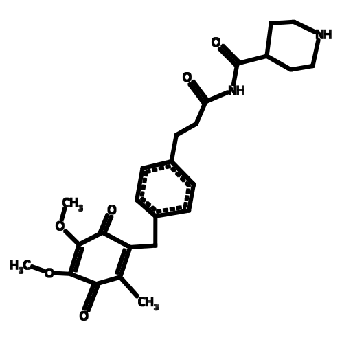 COC1=C(OC)C(=O)C(Cc2ccc(CCC(=O)NC(=O)C3CCNCC3)cc2)=C(C)C1=O